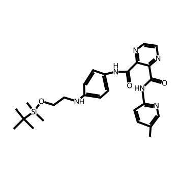 Cc1ccc(NC(=O)c2nccnc2C(=O)Nc2ccc(NCCO[Si](C)(C)C(C)(C)C)cc2)nc1